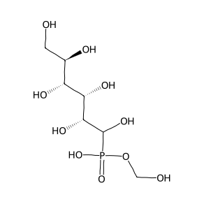 O=P(O)(OCO)C(O)[C@H](O)[C@@H](O)[C@H](O)[C@H](O)CO